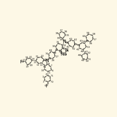 Fc1ccc(-c2ccc3c(c2)c2cc(-c4ccc(F)cc4)ccc2n3-c2ccc(-c3ccc(N(c4ccccc4)c4ccc(-c5cc(-c6ccccc6)cc(-c6ccccc6)c5)cc4)c4nsnc34)cc2)cc1